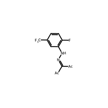 CC(=O)C(=NNc1cc(C(F)(F)F)ccc1F)C(C)=O